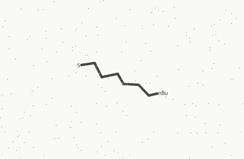 CCCCCCCCCC[S]